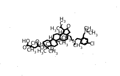 CC(C)C1=C2[C@H]3CC[C@@H]4[C@@]5(C)CC[C@H](OC(=O)CC(C)(C)C(=O)O)C(C)(C)[C@@H]5CC[C@@]4(C)[C@]3(C)CC[C@@]2(CCN(C)Cc2ccc(Cl)cc2CN(C)C)CC1=O